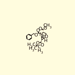 COC(=O)[C@@H]1CO[C@@H]2[C@@H](C(=O)OC(C)(C)C)[C@@H]2N1C(=O)OCc1ccccc1